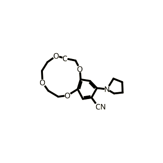 N#Cc1cc2c(cc1N1CCCC1)OCCOCCOCCO2